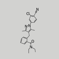 CCN(CC)C(=O)c1ccccc1Cc1c(C)nn(-c2ccc(C#N)c(Cl)c2)c1C